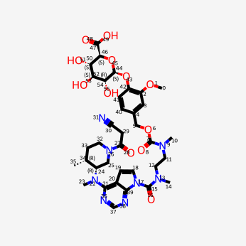 COc1cc(COC(=O)N(C)CCN(C)C(=O)n2ccc3c(N(C)[C@H]4CN(C(=O)CC#N)CC[C@H]4C)ncnc32)ccc1O[C@@H]1O[C@H](C(=O)O)[C@@H](O)[C@H](O)[C@H]1O